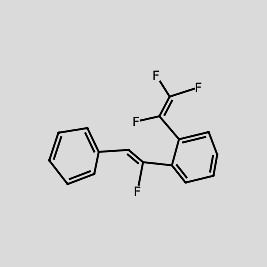 FC(=Cc1ccccc1)c1ccccc1C(F)=C(F)F